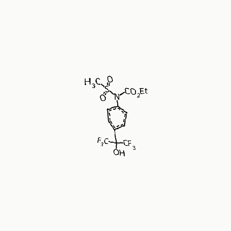 CCOC(=O)N(c1ccc(C(O)(C(F)(F)F)C(F)(F)F)cc1)S(C)(=O)=O